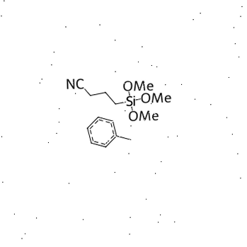 CO[Si](CCCC#N)(OC)OC.Cc1ccccc1